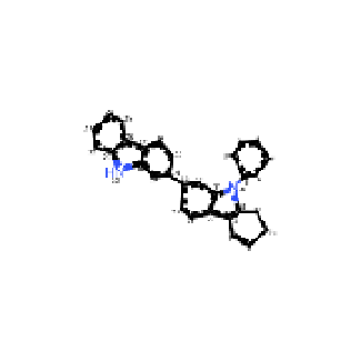 C1=Cc2c(n(-c3ccccc3)c3cc(-c4ccc5c(c4)[nH]c4ccccc45)ccc23)CC1